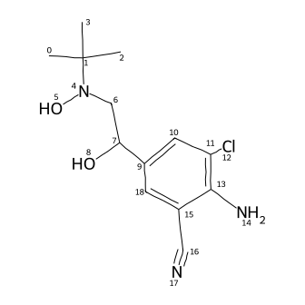 CC(C)(C)N(O)CC(O)c1cc(Cl)c(N)c(C#N)c1